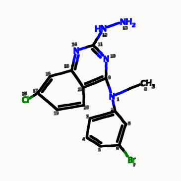 CN(c1cccc(Br)c1)c1nc(NN)nc2cc(Cl)ccc12